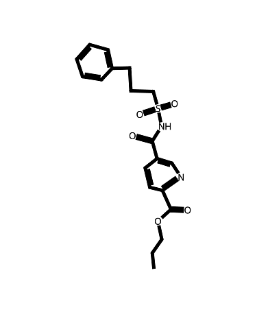 CCCOC(=O)c1ccc(C(=O)NS(=O)(=O)CCCc2ccccc2)cn1